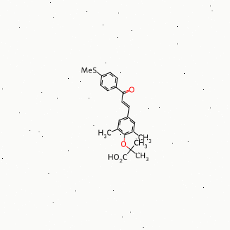 CSc1ccc(C(=O)C=Cc2cc(C)c(OC(C)(C)C(=O)O)c(C)c2)cc1